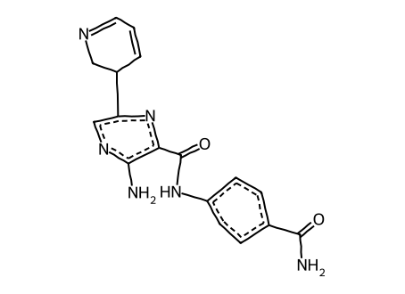 NC(=O)c1ccc(NC(=O)c2nc(C3C=CC=NC3)cnc2N)cc1